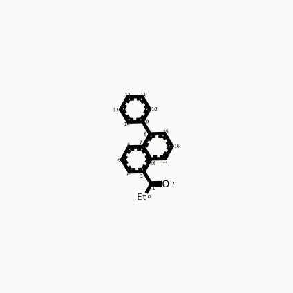 CCC(=O)c1cccc2c(-c3ccccc3)cccc12